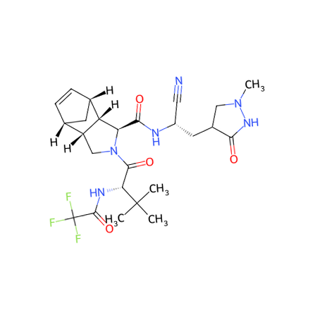 CN1CC(C[C@@H](C#N)NC(=O)[C@@H]2[C@@H]3[C@H](CN2C(=O)[C@@H](NC(=O)C(F)(F)F)C(C)(C)C)[C@@H]2C=C[C@H]3C2)C(=O)N1